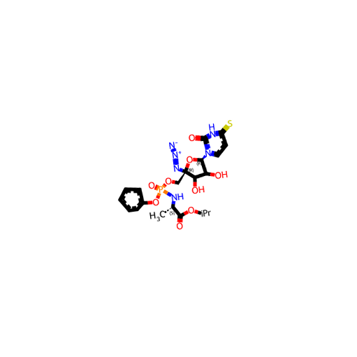 CC(C)OC(=O)[C@H](C)NP(=O)(OC[C@@]1(N=[N+]=[N-])O[C@@H](n2ccc(=S)[nH]c2=O)C(O)C1O)Oc1ccccc1